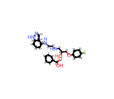 O=C(O)c1ccccc1.OC(CNCCNc1cccc2[nH]ncc12)COc1ccc(F)cc1